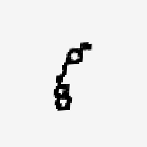 CC(C)(C)C1CCN(CCOc2cc3ccccn3n2)CC1